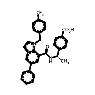 C[C@H](NC(=O)c1cc(-c2ccccc2)cc2ccn(Cc3ccc(C(F)(F)F)cc3)c12)c1ccc(C(=O)O)cc1